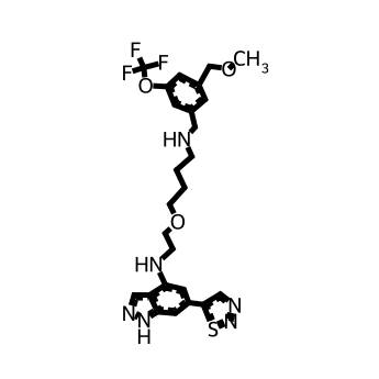 COCc1cc(CNCCCCOCCNc2cc(-c3cnns3)cc3[nH]ncc23)cc(OC(F)(F)F)c1